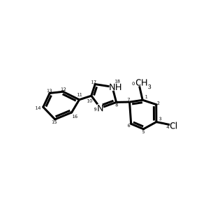 Cc1cc(Cl)ccc1-c1nc(-c2ccccc2)c[nH]1